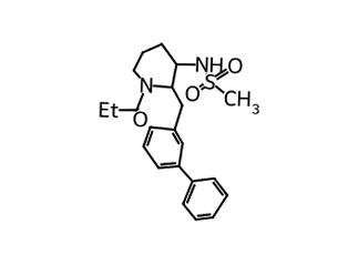 CCC(=O)N1CCCC(NS(C)(=O)=O)C1Cc1cccc(-c2ccccc2)c1